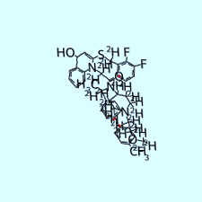 [2H]C([2H])([2H])OC([2H])([2H])C([2H])([2H])N1C([2H])([2H])C([2H])([2H])C([2H])(N(C(=O)C([2H])([2H])N2C(SC([2H])([2H])c3cccc(F)c3F)=CC(O)c3ccccc32)C([2H])(C)c2ccc(-c3ccc(C(F)(F)F)cc3)cc2)C([2H])([2H])C1([2H])[2H]